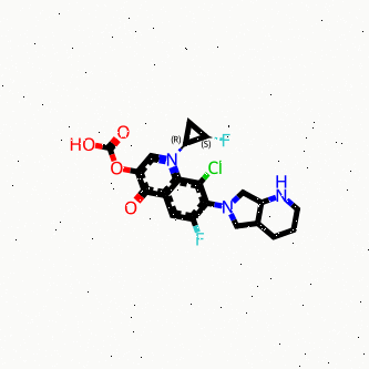 O=C(O)Oc1cn([C@@H]2C[C@@H]2F)c2c(Cl)c(N3CC4CCCNC4C3)c(F)cc2c1=O